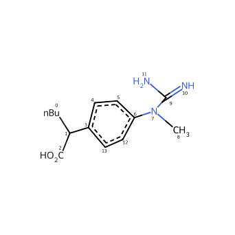 CCCCC(C(=O)O)c1ccc(N(C)C(=N)N)cc1